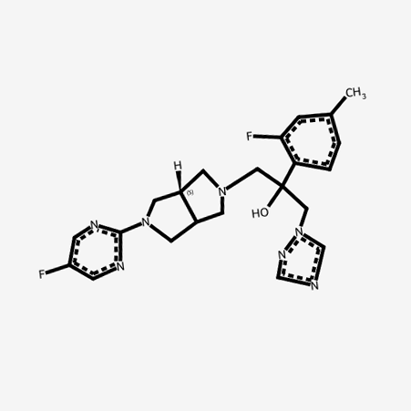 Cc1ccc(C(O)(CN2CC3CN(c4ncc(F)cn4)C[C@@H]3C2)Cn2cncn2)c(F)c1